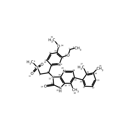 CCOc1nc(C(CS(C)(=O)=O)n2c(=O)[nH]c3c(C)c(-c4cccc(C)c4C)cnc32)ccc1OC